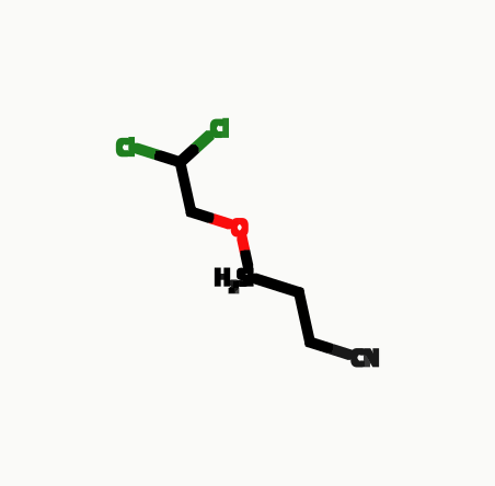 N#CCC[SiH2]OCC(Cl)Cl